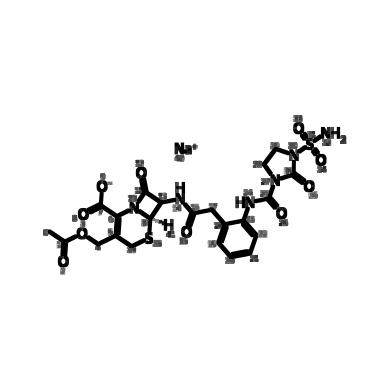 CC(=O)OCC1=C(C(=O)[O-])N2C(=O)C(NC(=O)Cc3ccccc3NC(=O)N3CCN(S(N)(=O)=O)C3=O)[C@H]2SC1.[Na+]